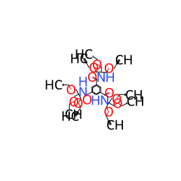 C#CCOCC(COCC#C)(COCC#C)NC(=O)c1cc(C(=O)NC(COCC#C)(COCC#C)COCC#C)cc(C(=O)NC(COCC#C)(COCC#C)COCC#C)c1